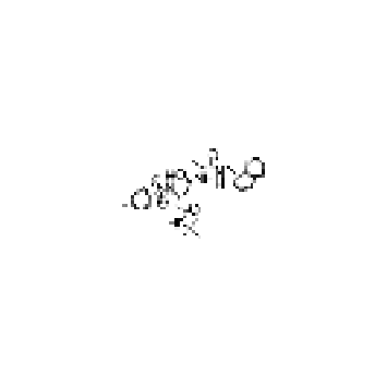 Cc1ccc(S(=O)(=O)N[C@@H](CC(=O)N[C@@H](C)C(=O)NCc2cccc3ccccc23)CC(=O)NC(C)(C)C)cc1